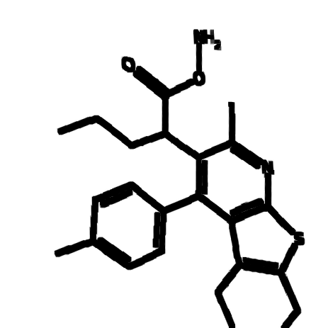 CCCC(C(=O)ON)c1c(C)nc2sc3c(c2c1-c1ccc(C)cc1)CCNC3